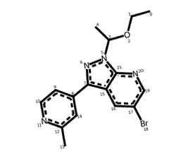 CCOC(C)n1nc(-c2ccnc(C)c2)c2cc(Br)cnc21